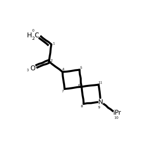 C=CC(=O)C1CC2(C1)CN(C(C)C)C2